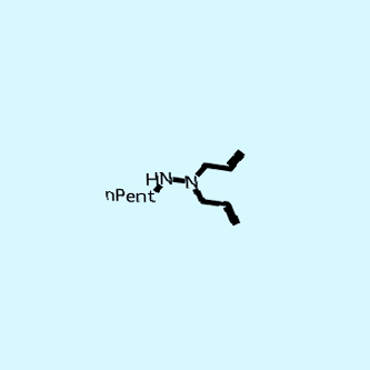 C=CCN(CC=C)NCCCCC